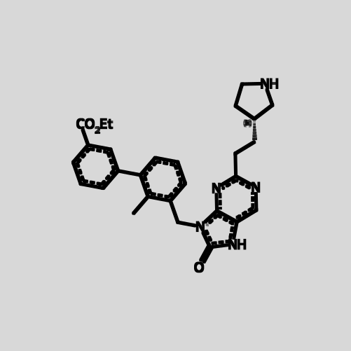 CCOC(=O)c1cccc(-c2cccc(Cn3c(=O)[nH]c4cnc(CC[C@@H]5CCNC5)nc43)c2C)c1